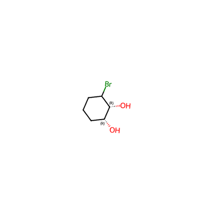 O[C@@H]1CCCC(Br)[C@@H]1O